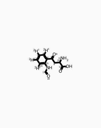 [2H]c1c([2H])c([2H])c(C(=O)CC(N)C(=O)O)c(NC=O)c1[2H]